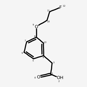 O=C(O)Cc1cccc(OCCF)c1